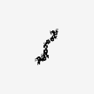 N#Cc1c(F)ccc(F)c1Oc1ccc2ncn(-c3ccc(N4CCC(OC5CCN(c6ccc7c(c6)CN(C6CCC(=O)NC6=O)C7=O)CC5)CC4)cc3)c(=O)c2c1